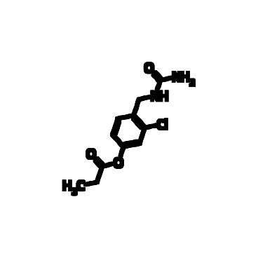 CCC(=O)Oc1ccc(CNC(N)=O)c(Cl)c1